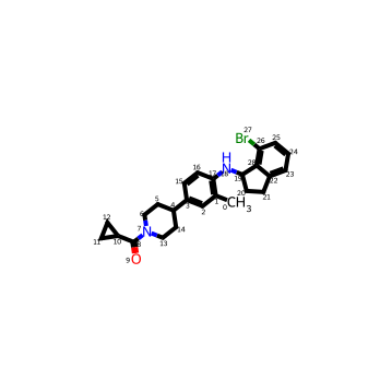 Cc1cc(C2CCN(C(=O)C3CC3)CC2)ccc1NC1CCc2cccc(Br)c21